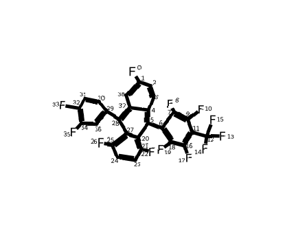 Fc1ccc2c(-c3c(F)c(F)c(C(F)(F)F)c(F)c3F)c3c(F)ccc(F)c3c(-c3ccc(F)c(F)c3)c2c1